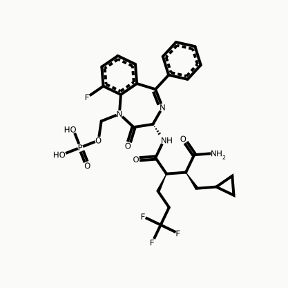 NC(=O)[C@@H](CC1CC1)[C@@H](CCC(F)(F)F)C(=O)N[C@H]1N=C(c2ccccc2)c2cccc(F)c2N(COP(=O)(O)O)C1=O